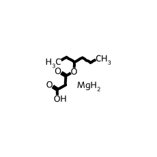 CCCC(CC)OC(=O)CC(=O)O.[MgH2]